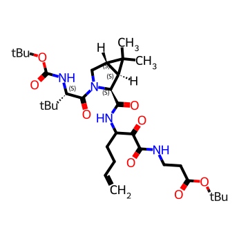 C=CCCC(NC(=O)[C@@H]1[C@H]2[C@H](CN1C(=O)[C@@H](NC(=O)OC(C)(C)C)C(C)(C)C)C2(C)C)C(=O)C(=O)NCCC(=O)OC(C)(C)C